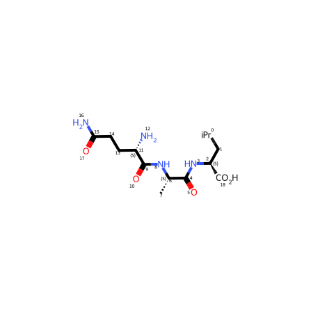 CC(C)C[C@H](NC(=O)[C@H](C)NC(=O)[C@@H](N)CCC(N)=O)C(=O)O